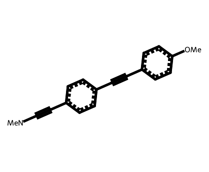 CNC#Cc1ccc(C#Cc2ccc(OC)cc2)cc1